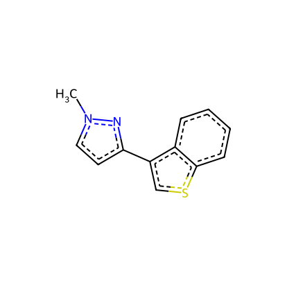 Cn1ccc(-c2csc3ccccc23)n1